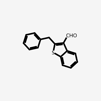 O=Cc1c(Cc2ccccc2)sc2ccccc12